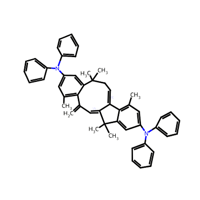 C=C1/C=C2\C(=C/CC(C)(C)c3cc(N(c4ccccc4)c4ccccc4)cc(C)c31)c1c(C)cc(N(c3ccccc3)c3ccccc3)cc1C2(C)C